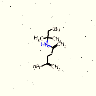 C=C(CCC)CCC(=C)NC(C)(C)CC(C)(C)C